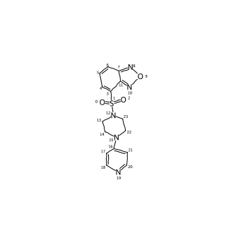 O=S(=O)(c1cccc2nonc12)N1CCN(c2ccncc2)CC1